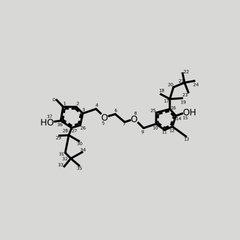 Cc1cc(COCCOCc2cc(C)c(O)c(C(C)(C)CC(C)(C)C)c2)cc(C(C)(C)CC(C)(C)C)c1O